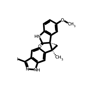 COc1ccc2c(c1)[C@]1(C[C@@]1(C)c1ccc3c(I)n[nH]c3c1)C(=O)N2